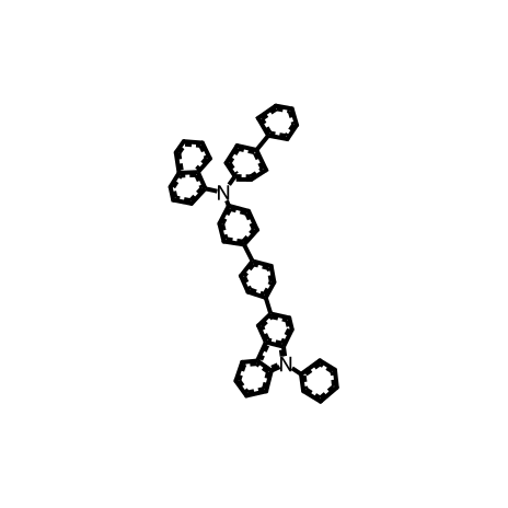 c1ccc(-c2ccc(N(c3ccc(-c4ccc(-c5ccc6c(c5)c5ccccc5n6-c5ccccc5)cc4)cc3)c3cccc4ccccc34)cc2)cc1